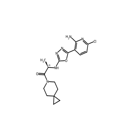 C[C@@H](Nc1nnc(-c2ccc(Cl)nc2N)o1)C(=O)N1CCC2(CC1)CC2